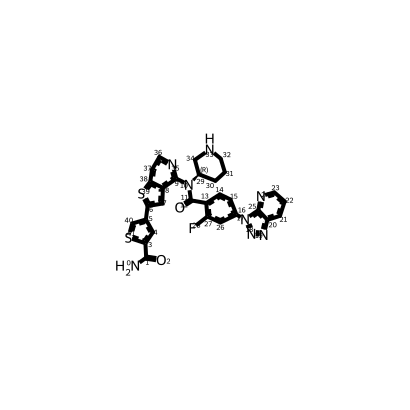 NC(=O)c1cc(-c2cc3c(N(C(=O)c4ccc(-n5nnc6cccnc65)cc4F)[C@@H]4CCCNC4)nccc3s2)cs1